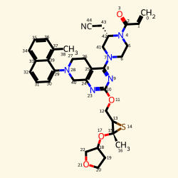 C=CC(=O)N1CCN(c2nc(OCC3S[C@]3(C)OC3CCOC3)nc3c2CCN(c2cccc4cccc(C)c24)C3)C[C@@H]1CC#N